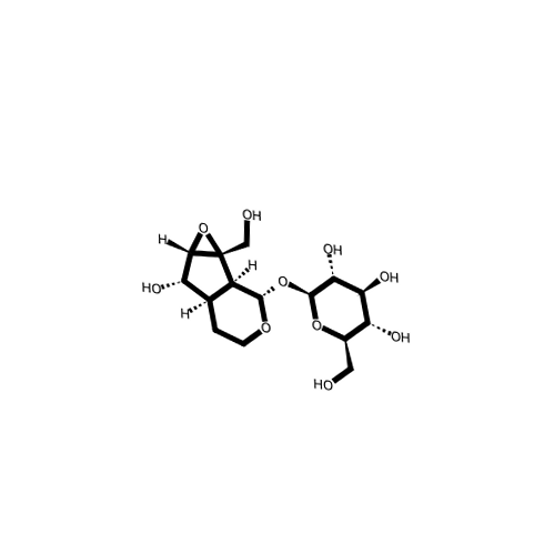 OC[C@H]1O[C@@H](O[C@@H]2OCC[C@H]3[C@H](O)[C@@H]4O[C@]4(CO)[C@@H]23)[C@H](O)[C@@H](O)[C@@H]1O